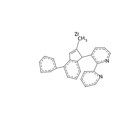 CC1=Cc2c(-c3ccccc3)cccc2C1c1cccnc1-c1ccccn1.[Zr]